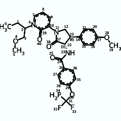 CCC(COC)n1cccc(N2C[C@@H](c3ccc(OC)cc3)[C@H](NC(=O)c3ccc(OC(F)(F)P)cc3)C2=O)c1=O